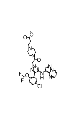 COC(=O)CCN1CCN(C(=O)Cn2cc(Nc3cnn4cccnc34)c(-c3cc(Cl)ccc3OC(F)F)n2)CC1